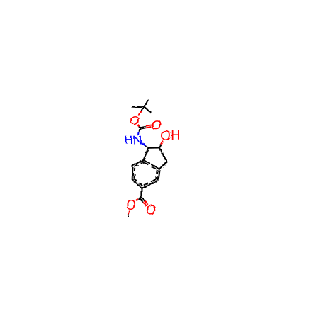 COC(=O)c1ccc2c(c1)CC(O)[C@@H]2NC(=O)OC(C)(C)C